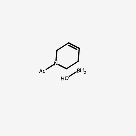 BO.CC(=O)N1CC=CCC1